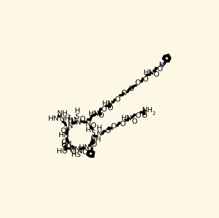 N=C(N)NCCC[C@@H]1NC(=O)[C@H](CS)NC(=O)[C@H](CCCCNC(=O)COCC(=O)NCCOCCOCCOCCOCCOCCNC(=O)CO/N=C/c2ccccc2)NC(=O)CSC(CNCCOCCOCCOCCNC(=O)COCC(N)=O)NC(=O)[C@H](Cc2ccccc2)NC(=O)[C@H](CS)NC(=O)[C@H](CC(=O)O)NC(=O)CNC1=O